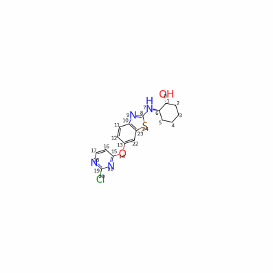 O[C@@H]1CCCC[C@H]1Nc1nc2ccc(Oc3ccnc(Cl)n3)cc2s1